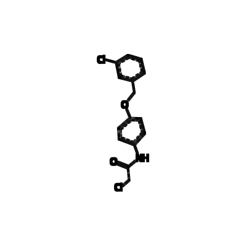 O=C(CCl)Nc1ccc(OCc2cccc(Cl)c2)cc1